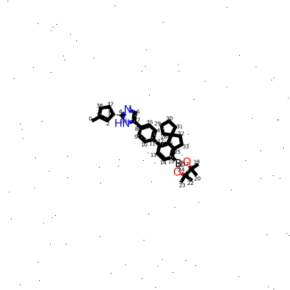 CC1=C[C@@H](c2ncc(-c3ccc(-c4ccc(B5OC(C)(C)C(C)(C)O5)c5c4C4(CCCC4)CC5)cc3)[nH]2)CC1